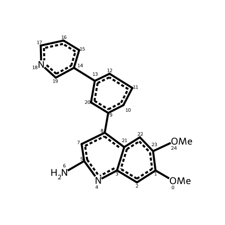 COc1cc2nc(N)cc(-c3cccc(-c4cccnc4)c3)c2cc1OC